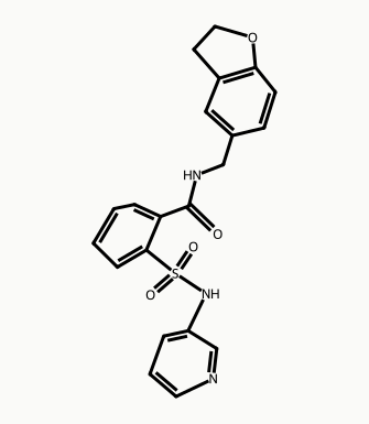 O=C(NCc1ccc2c(c1)CCO2)c1ccccc1S(=O)(=O)Nc1cccnc1